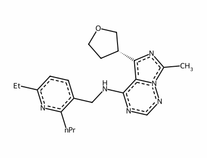 CCCc1nc(CC)ccc1CNc1ncnn2c(C)nc([C@@H]3CCOC3)c12